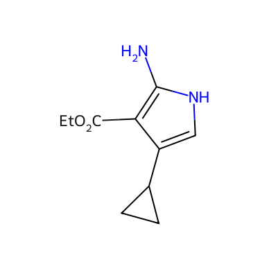 CCOC(=O)c1c(C2CC2)c[nH]c1N